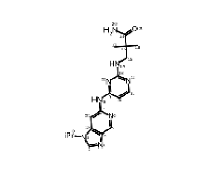 CC(C)n1cnc2cnc(Nc3ccnc(NCC(C)(C)C(N)=O)n3)cc21